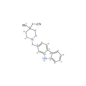 CC(C)(C)C1(CC#N)CCN(Cc2ccc3c(c2)[nH]c2ccccc23)CC1